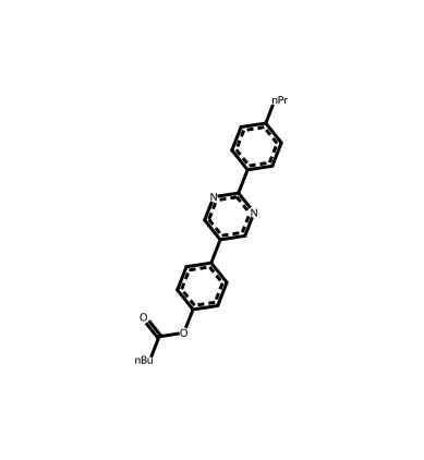 CCCCC(=O)Oc1ccc(-c2cnc(-c3ccc(CCC)cc3)nc2)cc1